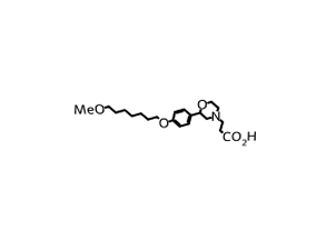 COCCCCCCCOc1ccc(C2CN(CCC(=O)O)CCO2)cc1